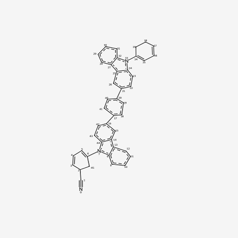 N#CC1C=CC=C(n2c3ccccc3c3cc(-c4ccc(-c5ccc6c(c5)c5ccccc5n6C5=CC=CCC5)cc4)ccc32)C1